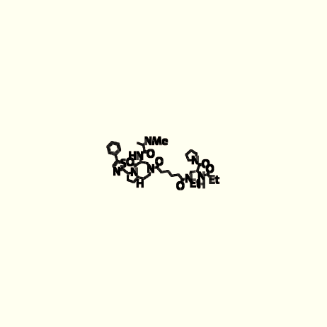 CCC(=O)N[C@@H](CN(CC)C(=O)CCCCC(=O)N1CC[C@H]2CCC(c3ncc(-c4ccccc4)s3)N2C(=O)C(NC(=O)C(C)NC)C1)C(=O)N1CCCC1